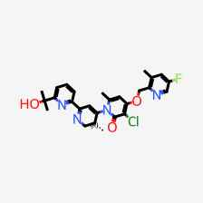 Cc1cc(F)cnc1COc1cc(C)n(C2=CC(c3cccc(C(C)(C)O)n3)=NC[C@H]2C)c(=O)c1Cl